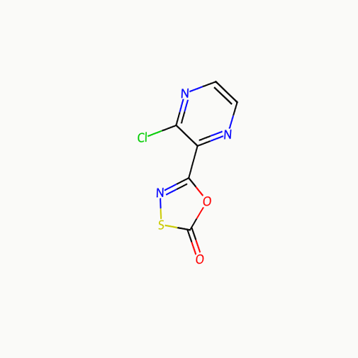 O=c1oc(-c2nccnc2Cl)ns1